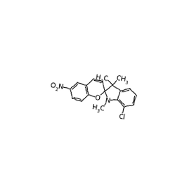 CN1c2c(Cl)cccc2C(C)(C)C12C=Cc1cc([N+](=O)[O-])ccc1O2